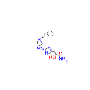 NC(=O)C(O)=Cc1cnc(N[C@@H]2CCN(CCCC3CCCCC3)C2)cn1